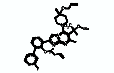 C=CCOC1(C)CCN(c2c(C(C)(OC(C)(C)C)C(=O)O)c(C)nc3nc(-c4cccc(-c5cccc(F)c5)c4O[C@@H](C)CC=C)cn23)CC1